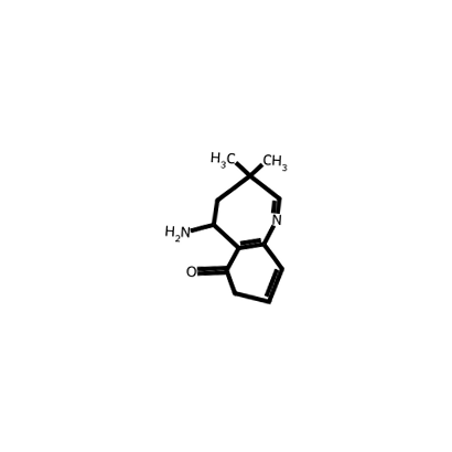 CC1(C)C=NC2=C(C(=O)CC=C2)C(N)C1